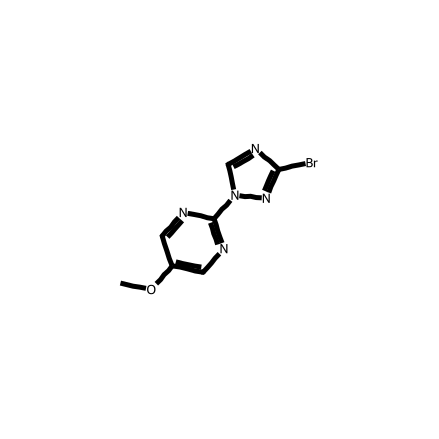 COc1cnc(-n2cnc(Br)n2)nc1